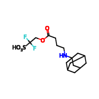 O=C(CCCNC12CC3CC(CC(C3)C1)C2)OCC(F)(F)S(=O)(=O)O